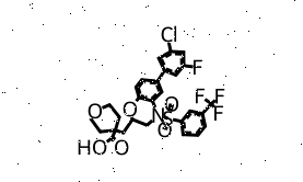 O=C(O)C1(CC2CN(S(=O)(=O)c3cccc(C(F)(F)F)c3)c3cc(-c4cc(F)cc(Cl)c4)ccc3O2)CCOCC1